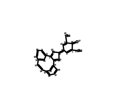 CC(C)(C)C1=CC(=C2N=c3c(c4cccc(ccc5cccc3c5)c4)=N2)C=C(C(C)(C)C)C1=O